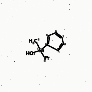 C[CH](C)[Sn]([CH3])([OH])[c]1ccccc1